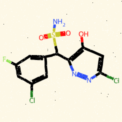 NS(=O)(=O)C(c1cc(F)cc(Cl)c1)c1nnc(Cl)cc1O